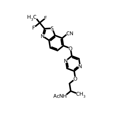 CC(=O)NC(C)COc1cnc(Oc2ccc3nc(C(C)(F)F)sc3c2C#N)cn1